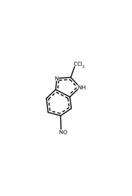 O=Nc1ccc2nc(C(Cl)(Cl)Cl)[nH]c2c1